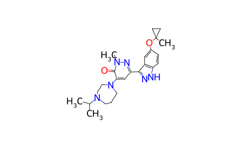 CC(C)N1CCCN(c2cc(-c3n[nH]c4ccc(OC5(C)CC5)cc34)nn(C)c2=O)CC1